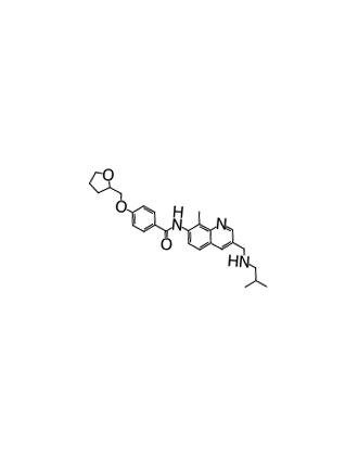 Cc1c(NC(=O)c2ccc(OCC3CCCO3)cc2)ccc2cc(CNCC(C)C)cnc12